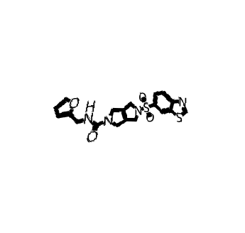 O=C(NCc1ccco1)N1CC2=C(C1)CN(S(=O)(=O)c1ccc3ncsc3c1)C2